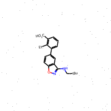 CCc1c(C(=O)O)cccc1-c1ccc2onc(NCC(C)(C)C)c2c1